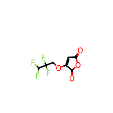 O=C1C=C(OCC(F)(F)C(F)F)C(=O)O1